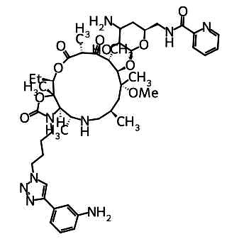 CC[C@H]1OC(=O)[C@H](C)C(=O)[C@H](C)[C@@H](O[C@@H]2O[C@H](CNC(=O)c3ccccn3)CC(N)C2O)[C@](C)(OC)C[C@@H](C)CN[C@H](C)[C@H]2N(CCCCn3cc(-c4cccc(N)c4)nn3)C(=O)O[C@]12C